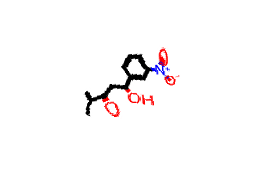 CC(C)C(=O)CC(O)c1cccc([N+](=O)[O-])c1